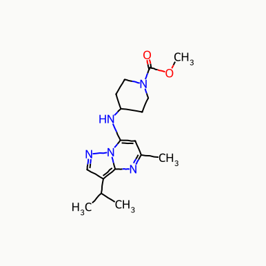 COC(=O)N1CCC(Nc2cc(C)nc3c(C(C)C)cnn23)CC1